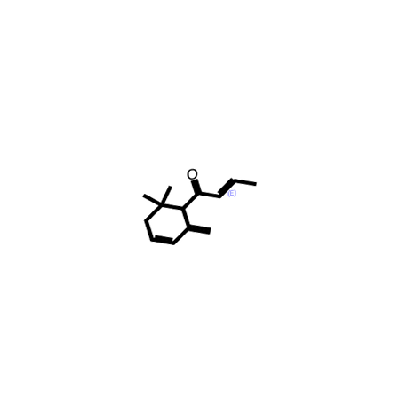 C=C1C=CCC(C)(C)C1C(=O)/C=C/C